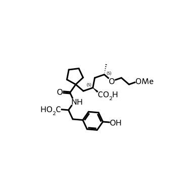 COCCO[C@@H](C)C[C@H](CC1(C(=O)NC(Cc2ccc(O)cc2)C(=O)O)CCCC1)C(=O)O